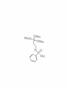 CO[Si](CCOP(=O)(O)c1ccccc1)(OC)OC